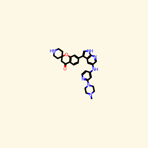 CN1CCN(c2cc(Nc3cnc4[nH]cc(-c5ccc6c(c5)OC5(CCNCC5)CC6=O)c4c3)ccn2)CC1